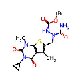 Cc1c(CN(NC(=O)OC(C)(C)C)C(N)=O)sc2c1c(=O)n(C1CC1)c(=O)n2C